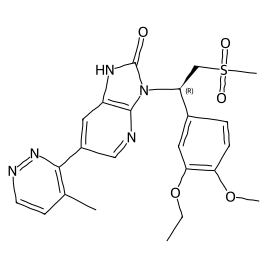 CCOc1cc([C@H](CS(C)(=O)=O)n2c(=O)[nH]c3cc(-c4nnccc4C)cnc32)ccc1OC